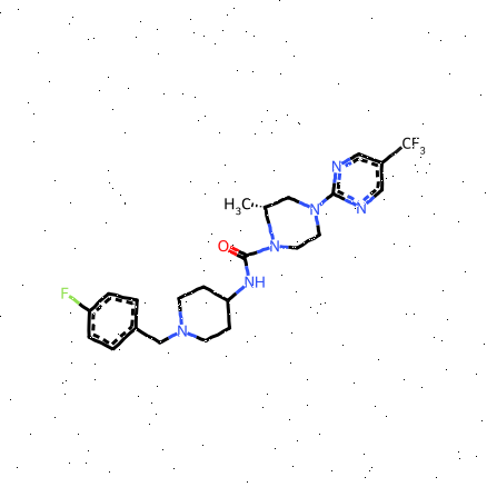 C[C@@H]1CN(c2ncc(C(F)(F)F)cn2)CCN1C(=O)NC1CCN(Cc2ccc(F)cc2)CC1